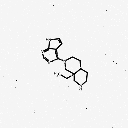 CCC12CNCCC1CCN(c1ncnc3[nH]ccc13)C2